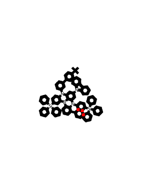 CC(C)(C)c1ccc(-c2cccc(N3c4ccc([Si](c5ccccc5)(c5ccccc5)c5ccccc5)cc4B4c5cccc(-c6ccccc6)c5N(c5ccc([Si](c6ccccc6)(c6ccccc6)c6ccccc6)cc5)c5cc(-n6c7ccccc7c7ccccc76)cc3c54)c2)cc1